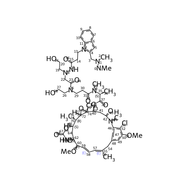 CNN(C)Cc1cc2ccccc2n1CCC(=O)NN(CCO)CC(=O)N(CCO)CCC(=O)N(C)[C@@H](C)C(=O)O[C@H]1CC(=O)N(C)c2cc(cc(OC)c2Cl)C/C(C)=C/C=C/[C@@H](OC)[C@@]2(O)C[C@H](OC(=O)N2)[C@@H](C)[C@@H]2O[C@]12C